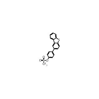 O=S(=O)(Oc1ccc(-c2ccc3sc4ccccc4c3c2)cc1)C(F)(F)F